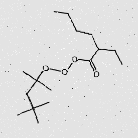 CCCCC(CC)C(=O)OOOC(C)(C)CC(C)(C)C